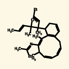 CC=CC(C)(C)C(C)(C=CCC)C1CC=CC2=C1/C(C)=C(/N=C(/C)CC)C(C)/C=C\C=C/C2